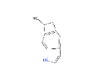 N#CC1Cc2cc3cc[nH]c3cc21